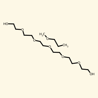 CCCOC.OCCOCCOCCOCCOCCOCCO